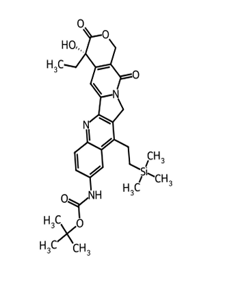 CC[C@@]1(O)C(=O)OCc2c1cc1n(c2=O)Cc2c-1nc1ccc(NC(=O)OC(C)(C)C)cc1c2CC[Si](C)(C)C